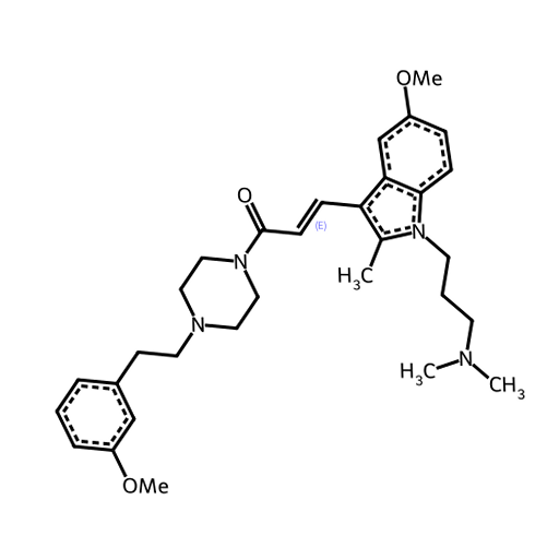 COc1cccc(CCN2CCN(C(=O)/C=C/c3c(C)n(CCCN(C)C)c4ccc(OC)cc34)CC2)c1